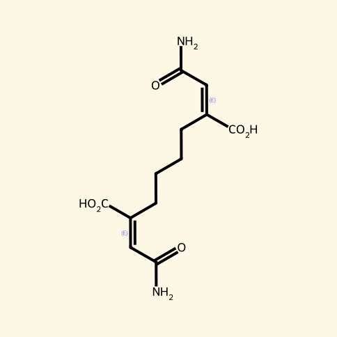 NC(=O)/C=C(\CCCC/C(=C\C(N)=O)C(=O)O)C(=O)O